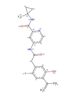 C=C(C)c1cc(F)c(CC(=O)Nc2ccnc(C(=O)NC3(C(F)(F)F)CC3)c2)cc1O